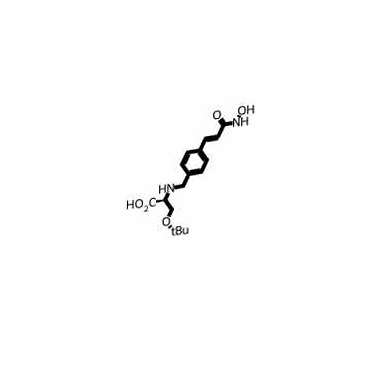 CC(C)(C)OC[C@H](NCc1ccc(/C=C/C(=O)NO)cc1)C(=O)O